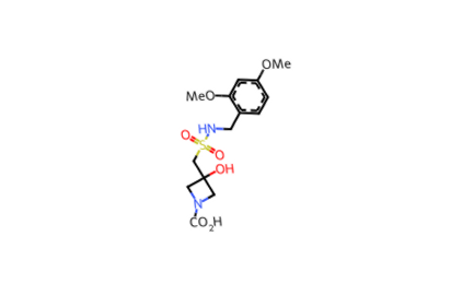 COc1ccc(CNS(=O)(=O)CC2(O)CN(C(=O)O)C2)c(OC)c1